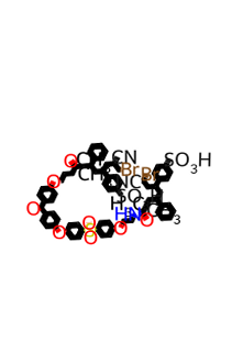 CC(C)(CC(CC(CC(Br)C#N)c1ccc(S(=O)(=O)O)cc1)c1ccccc1)C(=O)NCCOc1ccc(S(=O)(=O)c2ccc(Oc3ccc(C(=O)c4ccc(OCCCC(=O)C(C)(C)C(CC(CC(C#N)CBr)c5ccc(S(=O)(=O)O)cc5)c5ccccc5)cc4)cc3)cc2)cc1